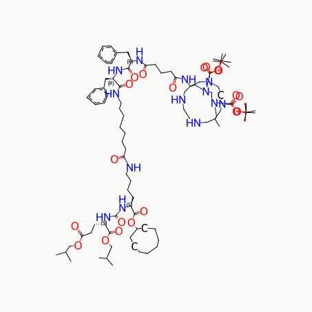 CC(C)COC(=O)CC[C@H](NC(=O)N[C@@H](CCCCNC(=O)CCCCCCCNC(=O)[C@@H](Cc1ccccc1)NC(=O)[C@@H](Cc1ccccc1)NC(=O)CCCC(=O)NC12CNCCNCC(C)(CN(C(=O)OC(C)(C)C)CCN(C(=O)OC(C)(C)C)C1)CN(C(=O)OC(C)(C)C)CCN(C(=O)OC(C)(C)C)C2)C(=O)OC1CCCCCCCC1)C(=O)OCC(C)C